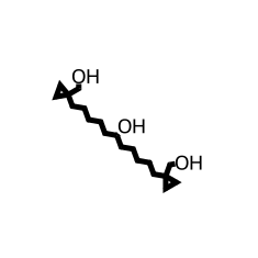 OCC1(CCCCCC(O)CCCCCC2(CO)CC2)CC1